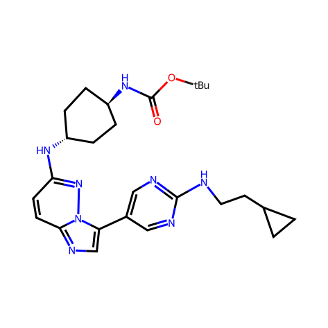 CC(C)(C)OC(=O)N[C@H]1CC[C@H](Nc2ccc3ncc(-c4cnc(NCCC5CC5)nc4)n3n2)CC1